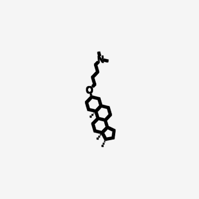 C[C@H]1CCC2C3CCC4C[C@@H](OCCCCN(C)C)CC[C@]4(C)C3CC[C@@]21C